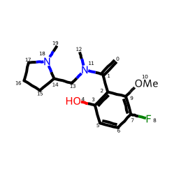 C=C(c1c(O)ccc(F)c1OC)N(C)CC1CCCN1C